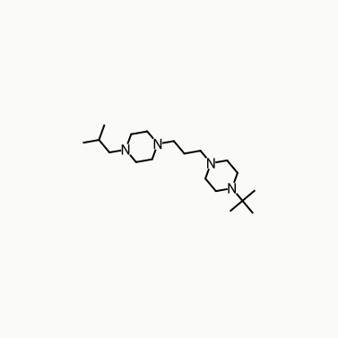 CC(C)CN1CCN(CCCN2CCN(C(C)(C)C)CC2)CC1